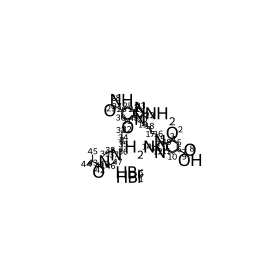 Br.Br.COc1cc(C(=O)O)cc2nc(N)n(CC=CCn3c(N)nc4cc(C(N)=O)cc(OCC#CCN5CCN(C(=O)C(C)C)CC5)c43)c12